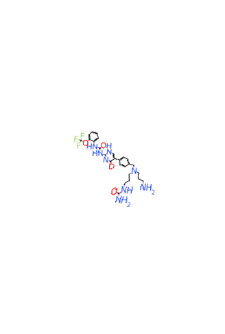 NCCCN(CCCNC(N)=O)Cc1ccc(-c2c[nH]c(NC(=O)Nc3ccccc3OC(F)(F)F)nc2=O)cc1